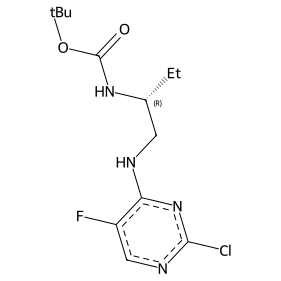 CC[C@H](CNc1nc(Cl)ncc1F)NC(=O)OC(C)(C)C